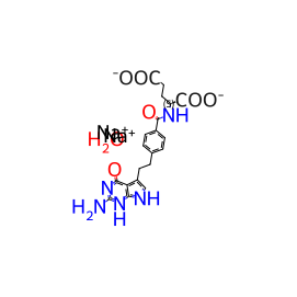 Nc1nc(=O)c2c(CCc3ccc(C(=O)N[C@@H](CCC(=O)[O-])C(=O)[O-])cc3)c[nH]c2[nH]1.O.[Na+].[Na+]